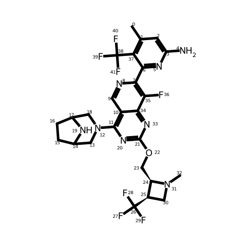 Cc1cc(N)nc(-c2ncc3c(N4CC5CCC(C4)N5)nc(OC[C@@H]4[C@H](C(F)(F)F)CN4C)nc3c2F)c1C(F)(F)F